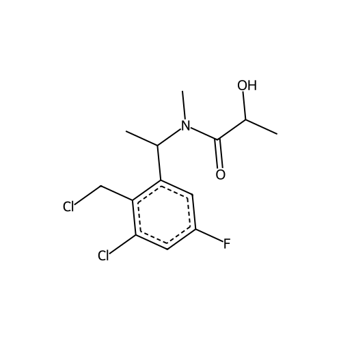 CC(O)C(=O)N(C)C(C)c1cc(F)cc(Cl)c1CCl